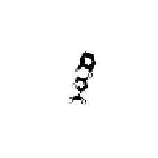 O=C(O)[C@@H]1C[C@H](Oc2ccccc2F)CN1